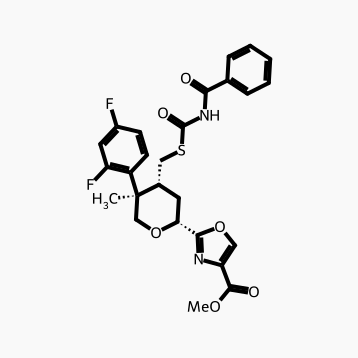 COC(=O)c1coc([C@H]2C[C@@H](CSC(=O)NC(=O)c3ccccc3)[C@](C)(c3ccc(F)cc3F)CO2)n1